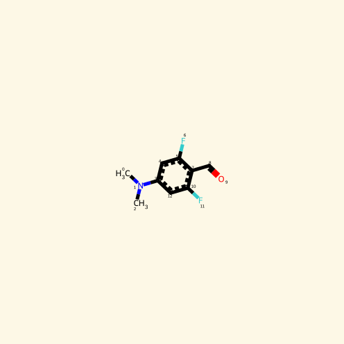 CN(C)c1cc(F)c(C=O)c(F)c1